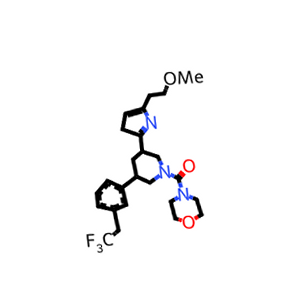 COCCC1=CCC(C2CC(c3cccc(CC(F)(F)F)c3)CN(C(=O)N3CCOCC3)C2)=N1